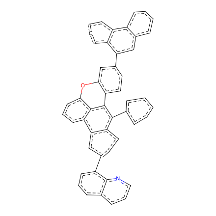 c1ccc(-c2c3c4c(cccc4c4cc(-c5cccc6cccnc56)ccc24)Oc2cc(-c4cc5ccccc5c5ccccc45)ccc2-3)cc1